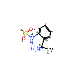 CS(=O)(=O)Nc1ccccc1C(N)C#N